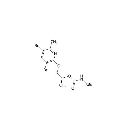 Cc1nc(OC[C@H](C)OC(=O)NC(C)(C)C)c(Br)cc1Br